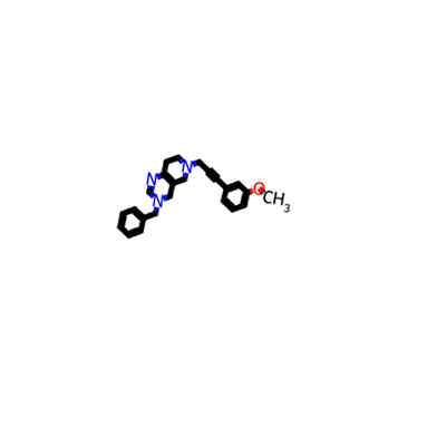 COc1cccc(C#CCN2CCC3=C(CN(Cc4ccccc4)C=N3)C2)c1